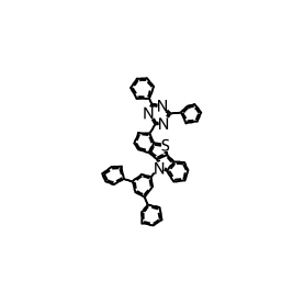 c1ccc(-c2cc(-c3ccccc3)cc(-n3c4ccccc4c4sc5c(-c6nc(-c7ccccc7)nc(-c7ccccc7)n6)cccc5c43)c2)cc1